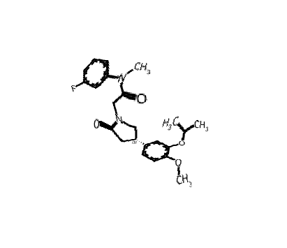 COc1ccc([C@@H]2CC(=O)N(CC(=O)N(C)c3cccc(F)c3)C2)cc1OC(C)C